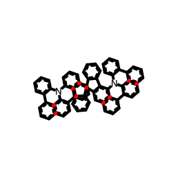 c1ccc(-c2ccccc2N(c2ccccc2-c2ccccc2)c2cccc3c2-c2ccccc2C32c3ccccc3-c3c(N(c4ccccc4-c4ccccc4)c4ccccc4-c4ccccc4)cccc32)cc1